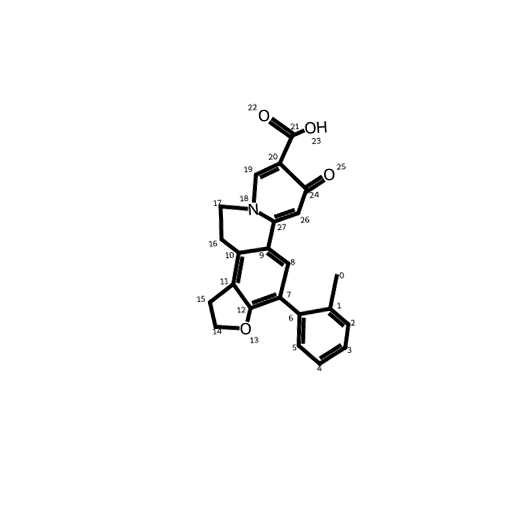 Cc1ccccc1-c1cc2c(c3c1OCC3)CCn1cc(C(=O)O)c(=O)cc1-2